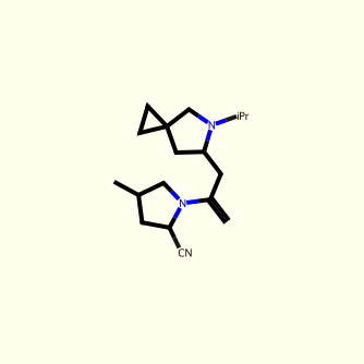 C=C(CC1CC2(CC2)CN1C(C)C)N1CC(C)CC1C#N